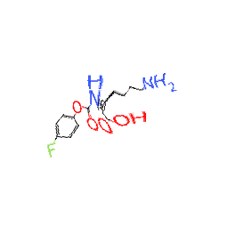 NCCCC[C@H](NC(=O)Oc1ccc(F)cc1)C(=O)O